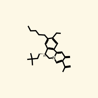 C=C(C)C1=CN2C[C@H](CCC(C)(C)C)c3cc(CCCCC)c(CC)cc3C2=CC1=C